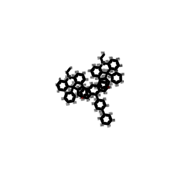 CCN1c2ccccc2C(c2ccccc2)(c2ccccc2)c2c(-c3cccc4c(-c5ccc(-c6ccccc6)cc5)c5cccc(-c6cccc7c6C(c6ccccc6)(c6ccccc6)c6ccccc6N7CC)c5cc34)cccc21